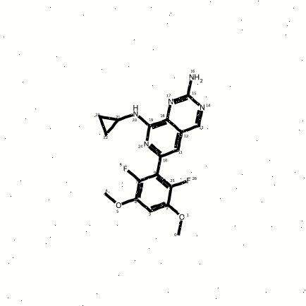 COc1cc(OC)c(F)c(-c2cc3cnc(N)nc3c(NC3CC3)n2)c1F